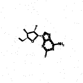 CC[C@H]1O[C@@H](n2cnc3c(N)nc(F)nc32)[C@@H](F)[C@@H]1C